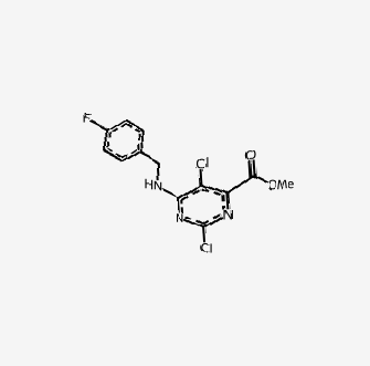 COC(=O)c1nc(Cl)nc(NCc2ccc(F)cc2)c1Cl